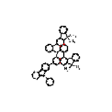 CC1(C)c2ccccc2-c2cc(-c3ccccc3N(c3cccc(-c4ccc5c6ccccc6n(-c6ccccc6)c5c4)c3)c3ccccc3-c3cccc4c3-c3ccccc3C4(C)C)ccc21